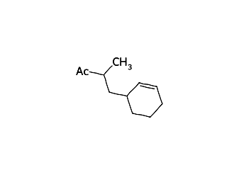 CC(=O)C(C)CC1C=CCCC1